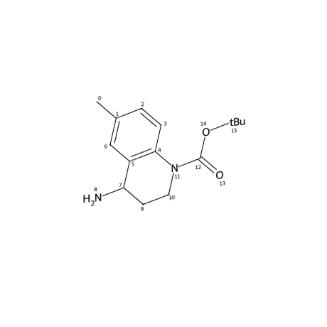 Cc1ccc2c(c1)C(N)CCN2C(=O)OC(C)(C)C